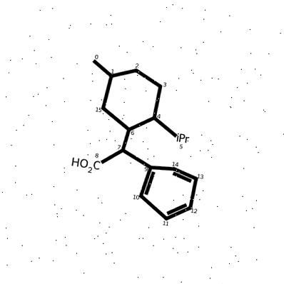 CC1CCC(C(C)C)C(C(C(=O)O)c2ccccc2)C1